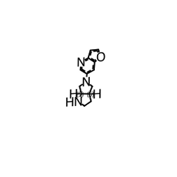 c1cc2ncc(N3C[C@@H]4CCN[C@@H]4C3)cc2o1